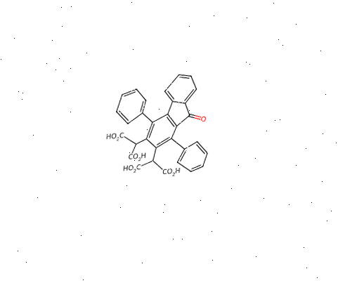 O=C1c2ccccc2-c2c1c(-c1ccccc1)c(C(C(=O)O)C(=O)O)c(C(C(=O)O)C(=O)O)c2-c1ccccc1